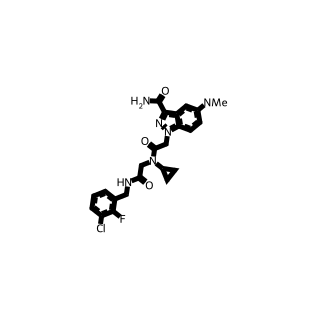 CNc1ccc2c(c1)c(C(N)=O)nn2CC(=O)N(CC(=O)NCc1cccc(Cl)c1F)C1CC1